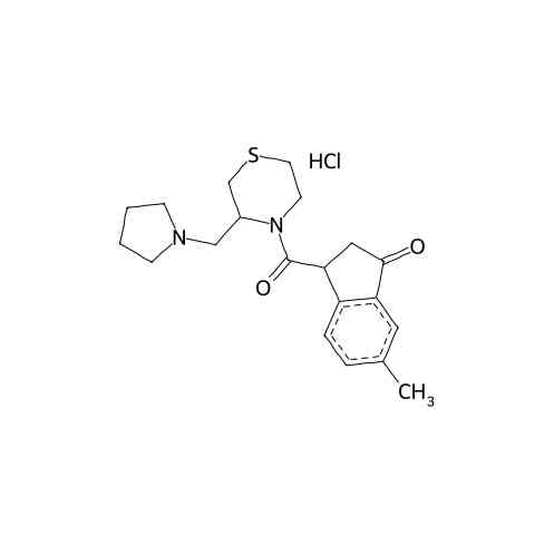 Cc1ccc2c(c1)C(=O)CC2C(=O)N1CCSCC1CN1CCCC1.Cl